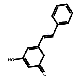 O=C1C=C(O)C=C(/C=C/c2ccccc2)C1